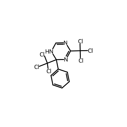 ClC(Cl)(Cl)C1=NC(c2ccccc2)(C(Cl)(Cl)Cl)NC=N1